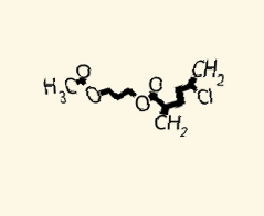 C=C(Cl)C=CC(=C)C(=O)OCCCOC(C)=O